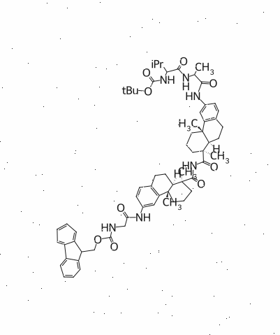 CC(NC(=O)C(NC(=O)OC(C)(C)C)C(C)C)C(=O)Nc1ccc2c(c1)[C@@]1(C)CCC[C@](C)(C(=O)NC(=O)[C@@]3(C)CCC[C@]4(C)c5cc(NC(=O)CNC(=O)OCC6c7ccccc7-c7ccccc76)ccc5CC[C@@H]34)[C@@H]1CC2